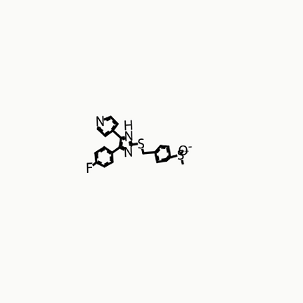 C[S+]([O-])c1ccc(CSc2nc(-c3ccc(F)cc3)c(-c3ccncc3)[nH]2)cc1